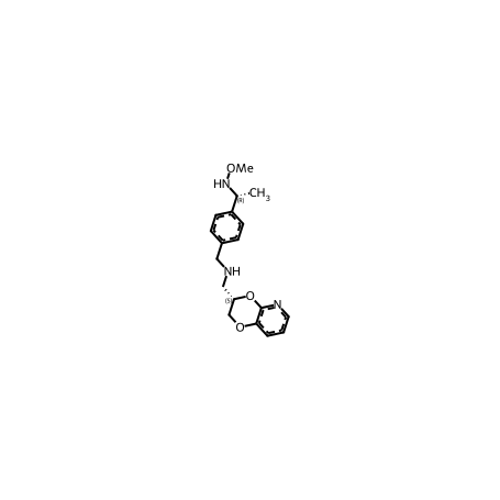 CON[C@H](C)c1ccc(CNC[C@H]2COc3cccnc3O2)cc1